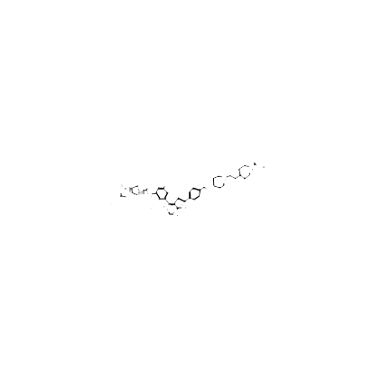 Cc1c(NC(=O)N2C[C@H](CC(C)C)[C@@H](O)C2)cc(F)cc1-c1ncnc2[nH]c(-c3ccc(COC4CCN(CCC5CCN(C(=O)O)CC5)CC4)cc3)cc12